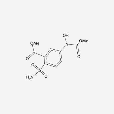 COC(=O)c1cc(N(O)C(=O)OC)ccc1S(N)(=O)=O